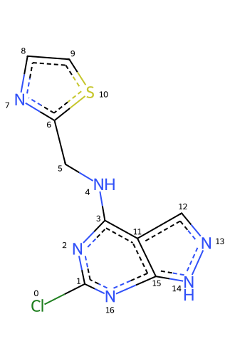 Clc1nc(NCc2nccs2)c2cn[nH]c2n1